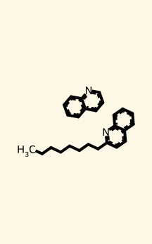 CCCCCCCCc1ccc2ccccc2n1.c1ccc2ncccc2c1